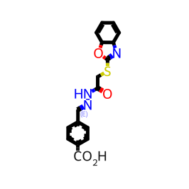 O=C(CSC1=NC2C=CC=CC2O1)N/N=C/c1ccc(C(=O)O)cc1